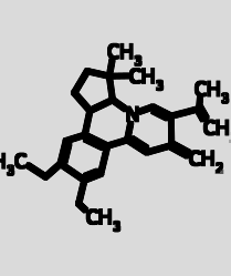 C=C(C)C1=CN2C(=CC1=C)c1cc(CC)c(CC)cc1C1CCC(C)(C)C12